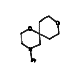 CC(C)N1CCOC2(CCOCC2)C1